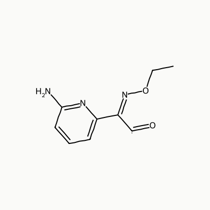 CCON=C([C]=O)c1cccc(N)n1